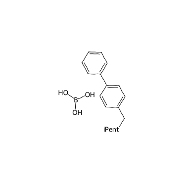 CCCC(C)Cc1ccc(-c2ccccc2)cc1.OB(O)O